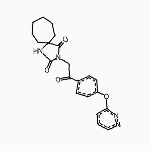 O=C(CN1C(=O)NC2(CCCCCC2)C1=O)c1ccc(Oc2cccnn2)cc1